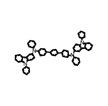 c1ccc(N(c2ccc(-c3ccc(-c4ccc(N(c5ccccc5)c5ccc6c(c5)c5ccccc5n6-c5ccccc5)cc4)cc3)cc2)c2ccc3c(c2)c2ccccc2n3-c2ccccc2)cc1